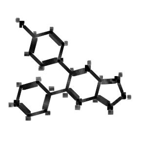 Fc1ccc(-c2nc3nsnc3nc2-c2ccncc2)cc1